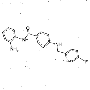 Nc1ccccc1NC(=O)c1ccc(NCc2ccc(F)cc2)cc1